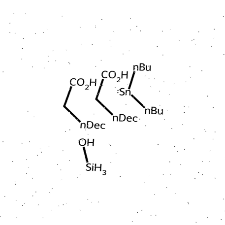 CCCCCCCCCCCC(=O)O.CCCCCCCCCCCC(=O)O.CCC[CH2][Sn][CH2]CCC.O[SiH3]